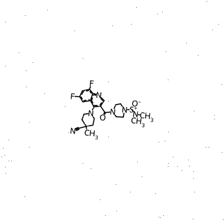 CN(C)[S+]([O-])N1CCN(C(=O)c2cnc3c(F)cc(F)cc3c2N2CCC(C)(C#N)CC2)CC1